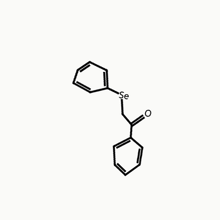 O=C(C[Se]c1ccccc1)c1ccccc1